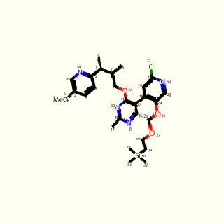 COc1ccc([C@@H](C)C(C)COc2nc(C)ncc2-c2cc(Cl)ncc2OCOCC[Si](C)(C)C)nc1